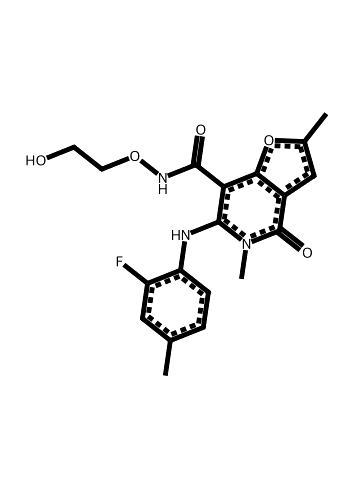 Cc1ccc(Nc2c(C(=O)NOCCO)c3oc(C)cc3c(=O)n2C)c(F)c1